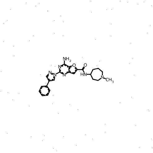 CN1CCCC(NC(=O)c2cc3nc(-n4cc(-c5ccccc5)cn4)nc(N)c3o2)CC1